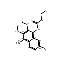 CCCC(=O)Oc1c(OC)c(OC)c(O)c2ccc(Cl)cc12